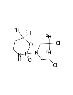 [2H]C([2H])(Cl)CN(CCCl)P1(=O)NCCC([2H])([2H])O1